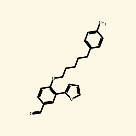 Cc1ccc(CCCCCOc2ccc(C=O)cc2-c2ccco2)cc1